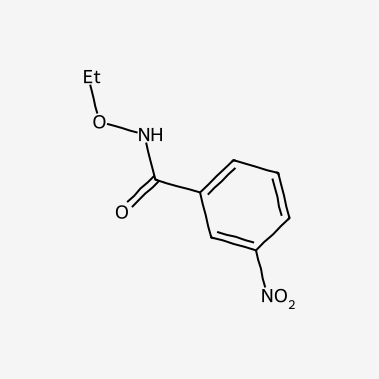 CCONC(=O)c1cccc([N+](=O)[O-])c1